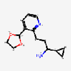 NC(CCc1ncccc1C1OCCO1)C1CC1